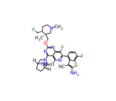 COc1nc(-c2ccc(F)c3sc(N)c(C#N)c23)c(F)c2nc(OC[C@]3(C)CN(C)CC[C@@H]3CF)nc(N3C[C@H]4CC[C@@H](C3)N4)c12